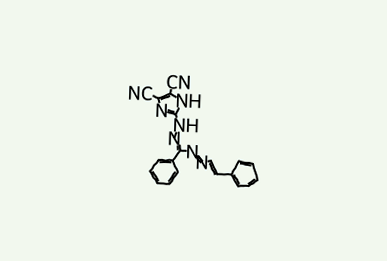 N#Cc1nc(N/N=C(\N=N\C=Cc2ccccc2)c2ccccc2)[nH]c1C#N